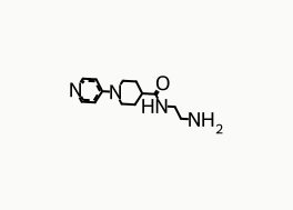 NCCNC(=O)C1CCN(c2ccncc2)CC1